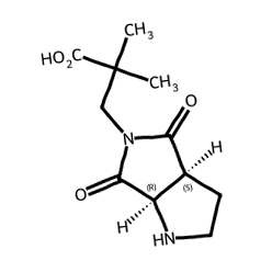 CC(C)(CN1C(=O)[C@H]2CCN[C@H]2C1=O)C(=O)O